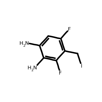 Nc1cc(F)c(CI)c(F)c1N